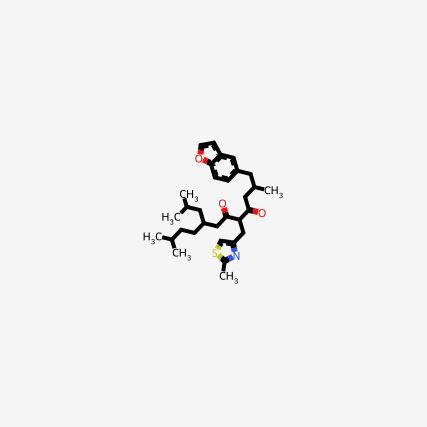 Cc1nc(CC(C(=O)CC(C)Cc2ccc3occc3c2)C(=O)CC(CCC(C)C)CC(C)C)cs1